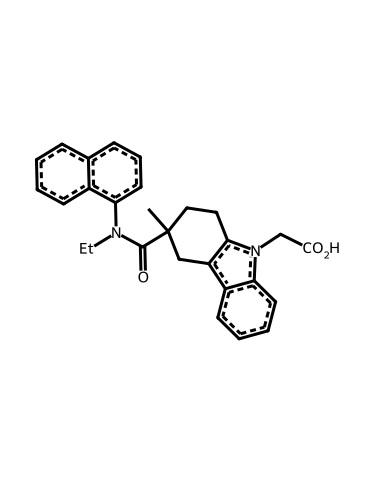 CCN(C(=O)C1(C)CCc2c(c3ccccc3n2CC(=O)O)C1)c1cccc2ccccc12